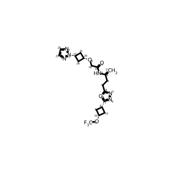 C=C(CCc1nnc([C@H]2C[C@@H](OC(F)(F)F)C2)o1)NC(=O)CO[C@H]1C[C@@H](n2nccn2)C1